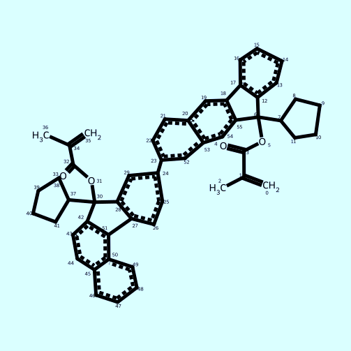 C=C(C)C(=O)OC1(C2CCCC2)c2ccccc2-c2cc3ccc(-c4ccc5c(c4)C(OC(=O)C(=C)C)(C4CCCC4)c4ccc6ccccc6c4-5)cc3cc21